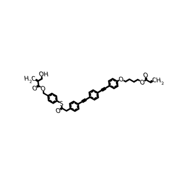 C=CC(=O)OCCCCOc1ccc(C#Cc2ccc(C#Cc3ccc(CC(=O)Sc4ccc(COC(=O)C(=C)CO)cc4)cc3)cc2)cc1